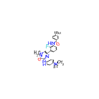 CCN(C)c1ccc(Nc2nc(-c3cccc(NC(=O)c4ccc(C(C)(C)C)cc4)c3F)cn(C)c2=O)cc1